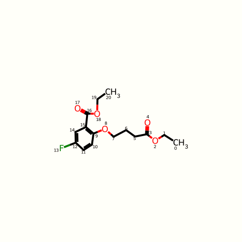 CCOC(=O)CCCOc1ccc(F)cc1C(=O)OCC